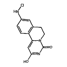 O=c1nc(O)cc2n1CCc1cc(NCl)ccc1-2